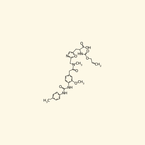 C=CCOC(=O)NC(Cc1cnc(CN(C)C(=O)Cc2ccc(NC(=O)Nc3ccc(C)cc3)c(OC)c2)o1)C(=O)O